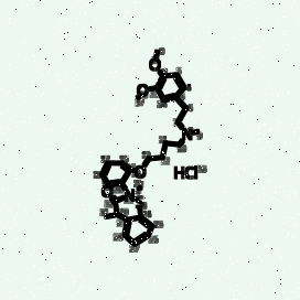 COc1ccc(CCN(C)CCCCOc2ccccc2[N+]2(C)Sc3ccccc3C(C)C2=O)cc1OC.Cl